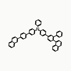 c1ccc(-c2cc(-c3ccc(N(c4ccccc4)c4ccc(-c5ccc(-c6ccc7ccccc7c6)cc5)cc4)cc3)ccc2-c2cccc3ccccc23)cc1